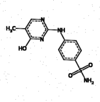 Cc1cnc(Nc2ccc(S(N)(=O)=O)cc2)nc1O